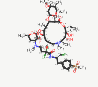 CC[C@H]1OC(=O)[C@H](C)[C@@H](O[C@H]2C[C@@](C)(OC)[C@@H](C)[C@H](C)O2)[C@H](C)[C@@H](O[C@@H]2O[C@H](C)C[C@H](N(C)CCC(Cl)(Cl)C(=O)N[C@H](CF)Cc3ccc(S(C)(=O)=O)cc3)[C@H]2O)[C@](C)(O)C[C@@H](C)CN(C)[C@H](C)[C@@H](O)[C@]1(C)O